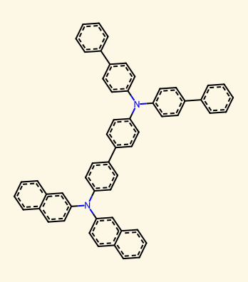 c1ccc(-c2ccc(N(c3ccc(-c4ccccc4)cc3)c3ccc(-c4ccc(N(c5ccc6ccccc6c5)c5ccc6ccccc6c5)cc4)cc3)cc2)cc1